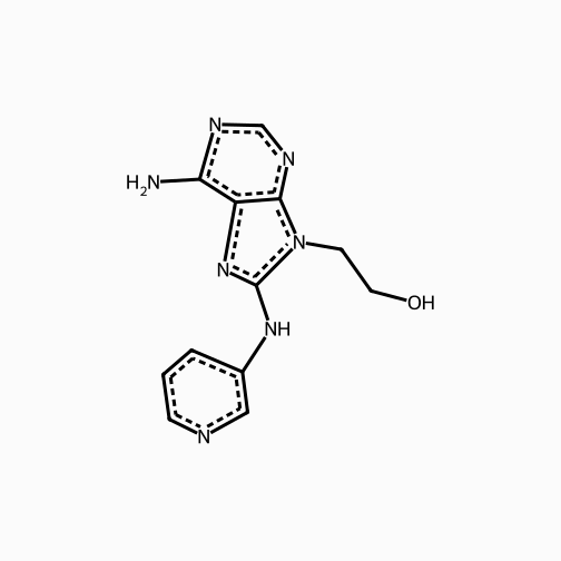 Nc1ncnc2c1nc(Nc1cccnc1)n2CCO